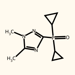 Cc1nc(P(=O)(C2CC2)C2CC2)nn1C